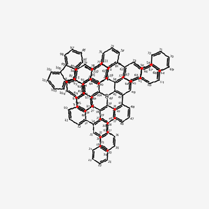 c1ccc(-c2cccc(-c3cccc(-c4cccc(-c5ccccc5)c4)c3N3c4cc(-c5ccccc5)ccc4B4c5c(-c6ccccc6)cc(-c6ccccc6)cc5N(c5c(-c6cccc(-c7ccccc7)c6)cccc5-c5cccc(-c6ccccc6)c5)c5cc(-n6c7ccccc7c7ccccc76)cc3c54)c2)cc1